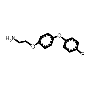 NCCOc1ccc(Oc2ccc(F)cc2)cc1